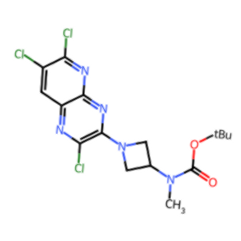 CN(C(=O)OC(C)(C)C)C1CN(c2nc3nc(Cl)c(Cl)cc3nc2Cl)C1